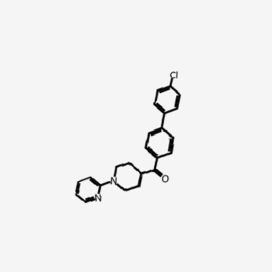 O=C(c1ccc(-c2ccc(Cl)cc2)cc1)C1CCN(c2ccccn2)CC1